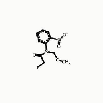 COCN(C(=O)CI)c1ccccc1[N+](=O)[O-]